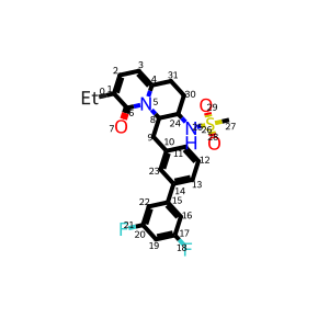 CCc1ccc2n(c1=O)C(Cc1cccc(-c3cc(F)cc(F)c3)c1)C(NS(C)(=O)=O)CC2